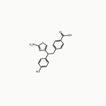 Nc1nc(C(Cc2ccc(C(=O)O)cc2)c2ccc(O)cc2)cs1